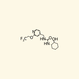 O=C(NCc1ccnc(OCC(F)(F)F)c1)N[C@H]1CCCC[C@@H]1O